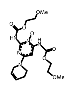 COCCOC(=O)Nc1cc(N2CC=CCC2)nc(NC(=O)OCCOC)[n+]1[O-]